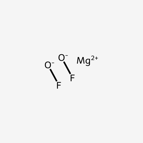 [Mg+2].[O-]F.[O-]F